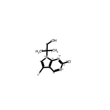 CC(C)(CO)n1cc(I)c2cnc(Cl)nc21